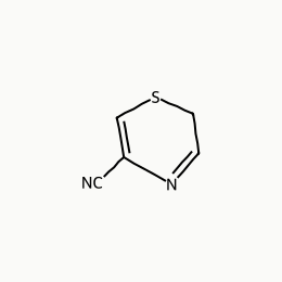 N#CC1=CSCC=N1